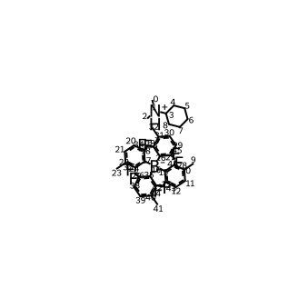 C[NH+](C)C1CCCCC1.Cc1ccc(F)c([B-](c2c(F)ccc(C)c2F)(c2c(F)ccc(C)c2F)c2c(F)ccc(C)c2F)c1F